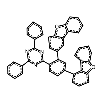 c1ccc(-c2nc(-c3ccccc3)nc(-c3ccc(-c4cccc5oc6ccccc6c45)cc3-c3ccc4oc5ccccc5c4c3)n2)cc1